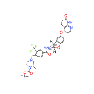 CC1CN(Cc2ccc(C(=O)N[C@@H]3[C@H]4Oc5ccc(Oc6ccnc7c6CCC(=O)N7)cc5[C@@H]34)cc2C(F)(F)F)CCN1C(=O)OC(C)(C)C